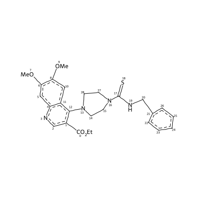 CCOC(=O)c1cnc2cc(OC)c(OC)cc2c1N1CCN(C(=S)NCc2ccccc2)CC1